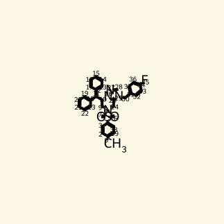 Cc1ccc(S(=O)(=O)N(CCC(c2ccccc2)c2ccccc2)Cc2nncn2Cc2ccc(F)cc2)cc1